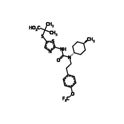 CC(C)(Sc1cnc(NC(=O)N(CCc2ccc(OC(F)(F)F)cc2)[C@H]2CC[C@H](C)CC2)s1)C(=O)O